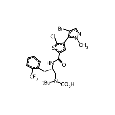 Cn1ncc(Br)c1-c1cc(C(=O)N[C@@H](Cc2ccccc2C(F)(F)F)CN(C(=O)O)C(C)(C)C)sc1Cl